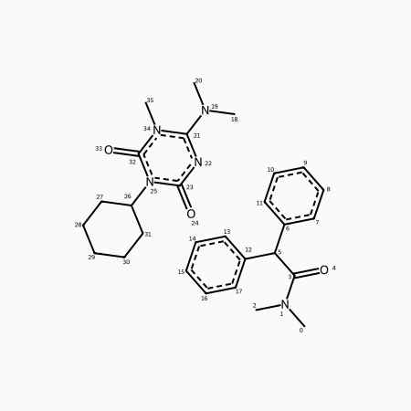 CN(C)C(=O)C(c1ccccc1)c1ccccc1.CN(C)c1nc(=O)n(C2CCCCC2)c(=O)n1C